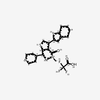 Cn1nc(-c2ccncc2)c2scc(-c3cc4ccccc4s3)c2c1=O.O=C(O)C(F)(F)F